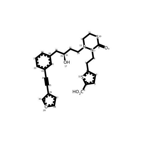 O=C(O)c1ccc(CCN2C(=O)SCCN2CC[C@@H](O)Cc2cccc(C#Cc3ccoc3)c2)s1